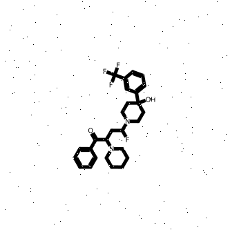 O=C(c1ccccc1)C(CC(F)N1CCC(O)(c2cccc(C(F)(F)F)c2)CC1)N1CCCCC1